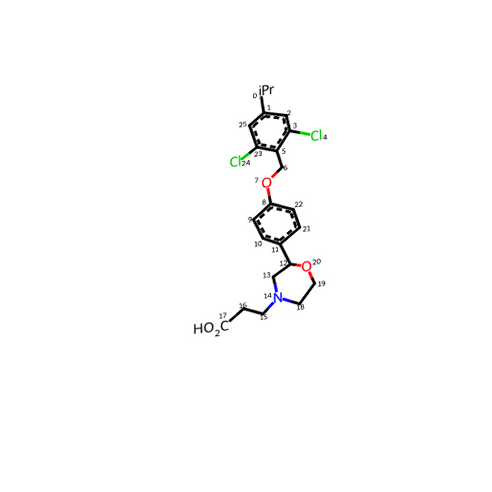 CC(C)c1cc(Cl)c(COc2ccc(C3CN(CCC(=O)O)CCO3)cc2)c(Cl)c1